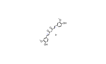 COc1cc(/C=C/C(=O)CC(=O)/C=C/c2ccc(O)c(OC)c2)ccc1O.[Ir]